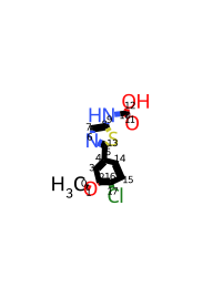 COc1cc(-c2ncc(NC(=O)O)s2)ccc1Cl